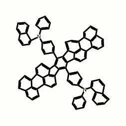 c1ccc(N(c2ccc(-c3c4c5ccc6c7cccc8cccc(c9ccc(c4c(-c4ccc(N(c%10ccccc%10)c%10cccc%11ccccc%10%11)cc4)c4c%10ccc%11c%12cccc%13cccc(c%14ccc(c34)c%10c%14%11)c%13%12)c5c69)c87)cc2)c2cccc3ccccc23)cc1